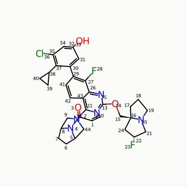 C=CC(=O)N1C2CCC1CN(c1nc(OC[C@@]34CCCN3C[C@H](F)C4)nc3c(F)c(-c4cc(O)cc(Cl)c4C4CC4)ccc13)C2